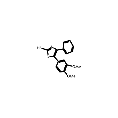 COc1ccc(-c2sc(S)nc2-c2ccccc2)cc1OC